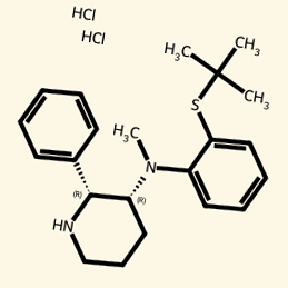 CN(c1ccccc1SC(C)(C)C)[C@@H]1CCCN[C@@H]1c1ccccc1.Cl.Cl